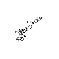 CN(CC1CCC(n2cc3cc(NC(=O)c4cccc(C(F)(F)F)n4)c(C(C)(C)O)cc3n2)CC1)C1CCC2(CCNCC2)CC1